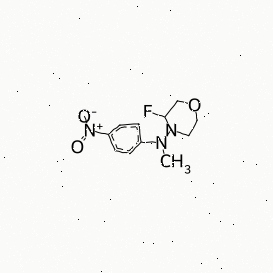 CN(c1ccc([N+](=O)[O-])cc1)N1CCOCC1F